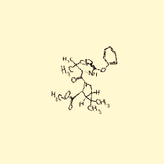 COC(=O)[C@@H]1[C@@H]2[C@H](CN1C(=O)[C@@H](NC(=O)Oc1ccccc1)C(C)(C)C)C2(C)C